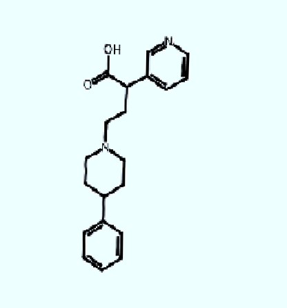 O=C(O)C(CCN1CCC(c2ccccc2)CC1)c1cccnc1